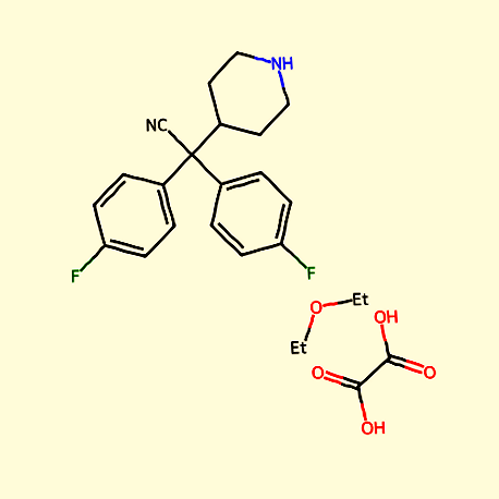 CCOCC.N#CC(c1ccc(F)cc1)(c1ccc(F)cc1)C1CCNCC1.O=C(O)C(=O)O